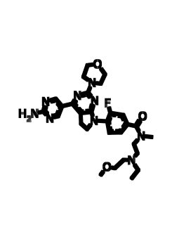 CCN(CCOC)CCN(C)C(=O)c1ccc(N2CCc3c(-c4cnc(N)nc4)nc(N4CCOCC4)nc32)c(F)c1